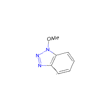 COn1nnc2[c]cccc21